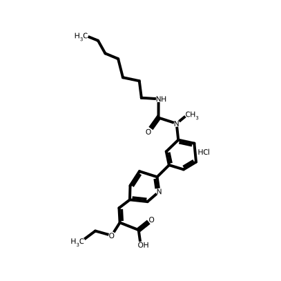 CCCCCCCNC(=O)N(C)c1cccc(-c2ccc(/C=C(/OCC)C(=O)O)cn2)c1.Cl